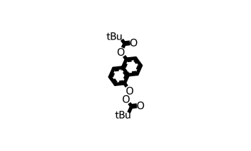 CC(C)(C)C(=O)OOc1cccc2c(OC(=O)C(C)(C)C)cccc12